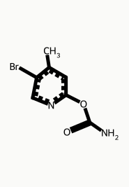 Cc1cc(OC(N)=O)ncc1Br